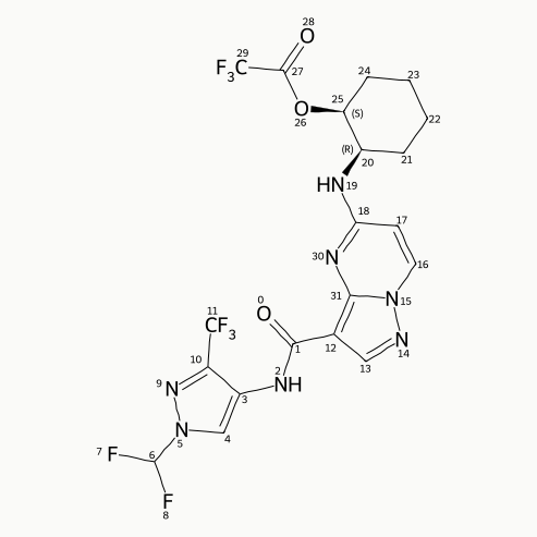 O=C(Nc1cn(C(F)F)nc1C(F)(F)F)c1cnn2ccc(N[C@@H]3CCCC[C@@H]3OC(=O)C(F)(F)F)nc12